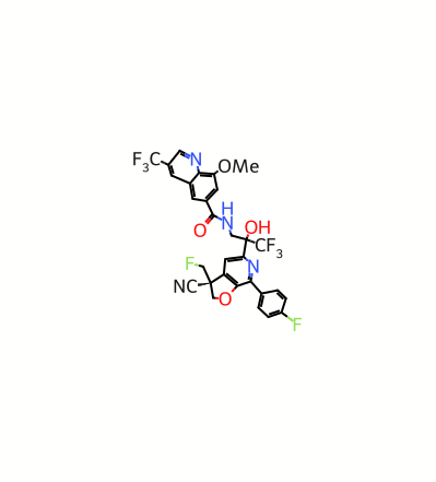 COc1cc(C(=O)NCC(O)(c2cc3c(c(-c4ccc(F)cc4)n2)OC[C@]3(C#N)CF)C(F)(F)F)cc2cc(C(F)(F)F)cnc12